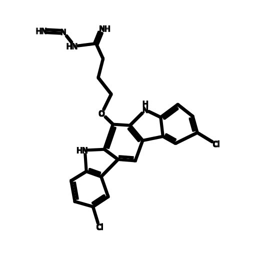 N=NNC(=N)CCCOc1c2[nH]c3ccc(Cl)cc3c2cc2c1[nH]c1ccc(Cl)cc12